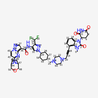 Cn1c(=O)n(C2CCC(=O)NC2=O)c2cccc(C#CCN3CCN(C[C@H]4CC[C@H](n5cc(NC(=O)c6cnn7ccc(N8C9CCC8COC9)nc67)c(C(F)F)n5)CC4)CC3)c21